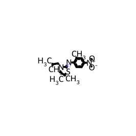 Cc1cc([N+](=O)[O-])ccc1/N=C1\SC(C)(C)CN1CC(C)C